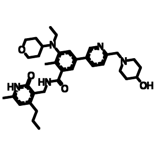 CCCc1cc(C)[nH]c(=O)c1CNC(=O)c1cc(-c2ccc(CN3CCC(O)CC3)nc2)cc(N(CC)C2CCOCC2)c1C